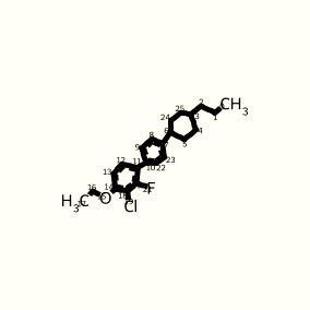 CCCC1CCC(c2ccc(-c3ccc(OCC)c(Cl)c3F)cc2)CC1